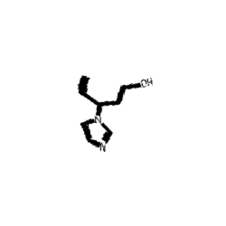 C=CC(CCO)n1ccnc1